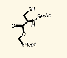 CCCCCCCCOC(=O)C(CS)N[Se]C(C)=O